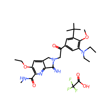 CCOc1cc2c(nc1C(=O)NC)C(=N)N(CC(=O)c1cc(N(CC)CC)c(OC)c(C(C)(C)C)c1)C2.O=C(O)C(F)(F)F